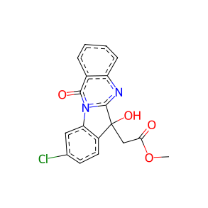 COC(=O)CC1(O)c2ccc(Cl)cc2-n2c1nc1ccccc1c2=O